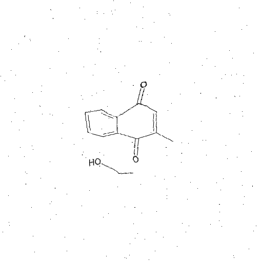 CC1=CC(=O)c2ccccc2C1=O.CCO